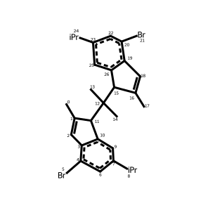 CC1=Cc2c(Br)cc(C(C)C)cc2C1C(C)(C)C1C(C)=Cc2c(Br)cc(C(C)C)cc21